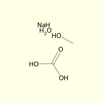 CO.O.O=C(O)O.[NaH]